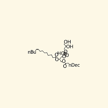 CCCC/C=C\CCCCCCCC(=O)O[C@H](COC(=O)CCCCCCCCCCC)COP(=O)(O)OC[C@@H](O)CO